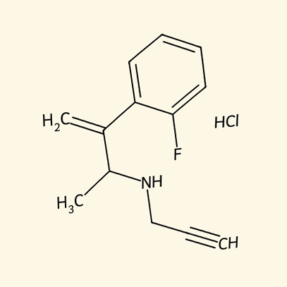 C#CCNC(C)C(=C)c1ccccc1F.Cl